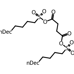 CCCCCCCCCCCCCCS(=O)(=O)OC(=O)CCC(=O)OS(=O)(=O)CCCCCCCCCCCCCC